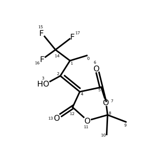 CC(C(O)=C1C(=O)OC(C)(C)OC1=O)C(F)(F)F